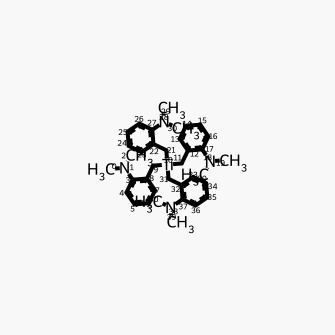 CN(C)c1ccccc1[CH2][Ti]([CH2]c1ccccc1N(C)C)([CH2]c1ccccc1N(C)C)[CH2]c1ccccc1N(C)C